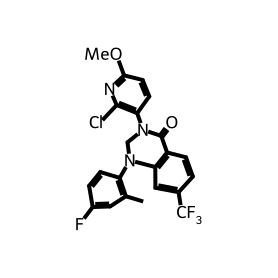 COc1ccc(N2CN(c3ccc(F)cc3C)c3cc(C(F)(F)F)ccc3C2=O)c(Cl)n1